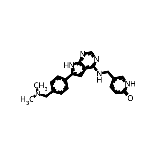 CN(C)Cc1ccc(-c2cc3c(NCc4ccc(=O)[nH]c4)ncnc3[nH]2)cc1